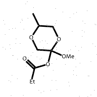 CCC(=O)OC1(OC)COC(C)CO1